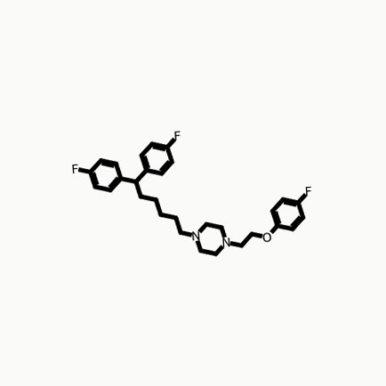 Fc1ccc(OCCN2CCN(CCCCCC(c3ccc(F)cc3)c3ccc(F)cc3)CC2)cc1